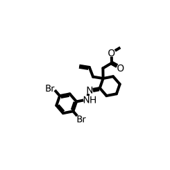 C=CCC1(CC(=O)OC)CCCCC1=NNc1cc(Br)ccc1Br